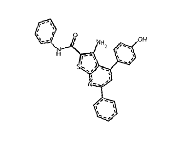 Nc1c(C(=O)Nc2ccccc2)sc2nc(-c3ccccc3)cc(-c3ccc(O)cc3)c12